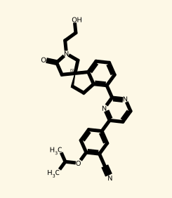 CC(C)Oc1ccc(-c2ccnc(-c3cccc4c3CC[C@]43CC(=O)N(CCO)C3)n2)cc1C#N